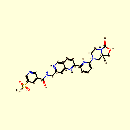 CS(=O)(=O)c1cncc(C(=O)NCc2cc3nc(-c4cccc(N5CCN6C(=O)OC[C@@H]6C5)n4)ccc3cn2)c1